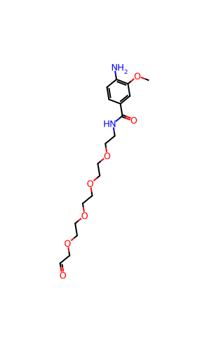 COc1cc(C(=O)NCCOCCOCCOCCOCC=O)ccc1N